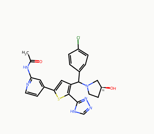 CC(=O)Nc1cc(-c2cc(C(c3ccc(Cl)cc3)N3CC[C@H](O)C3)c(-c3nnc[nH]3)s2)ccn1